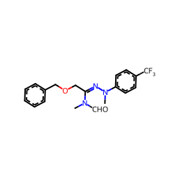 CN(C=O)/C(COCc1ccccc1)=N\N(C)c1ccc(C(F)(F)F)cc1